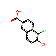 O=C(O)c1ccc2c(Cl)c(O)ccc2c1